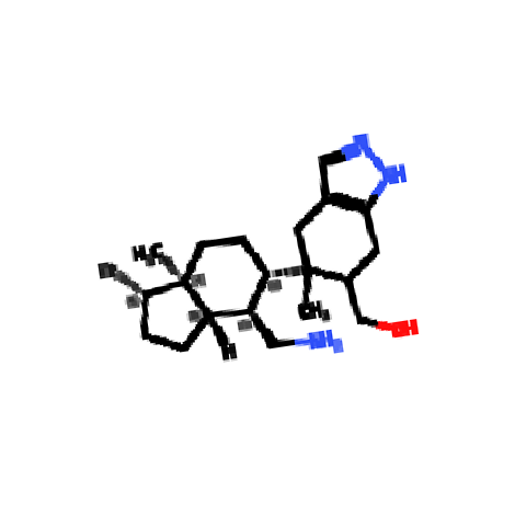 CC[C@H]1CC[C@H]2[C@H](CN)[C@@H](C3(C)Cc4cn[nH]c4CC3CO)CC[C@]12C